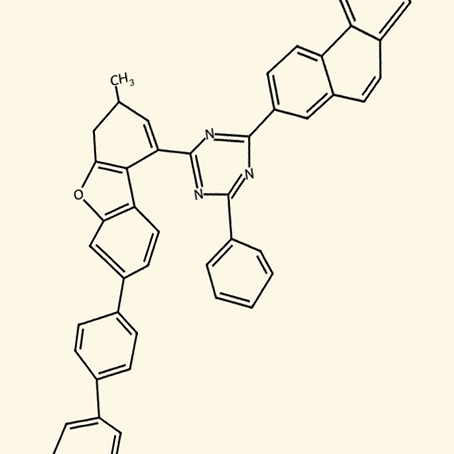 CC1C=C(c2nc(-c3ccccc3)nc(-c3ccc4c(ccc5ccccc54)c3)n2)c2c(oc3cc(-c4ccc(-c5ccccc5)cc4)ccc23)C1